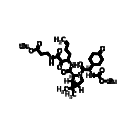 C=CCCC(NC(=O)[C@@H]1[C@@H]2[C@H](CN1C(=O)[C@@H](NC(=O)OC(C)(C)C)C1CCC(=O)CC1)C2(C)C)C(=O)C(=O)NCCC(=O)OC(C)(C)C